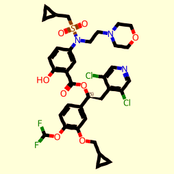 O=C(O[C@@H](Cc1c(Cl)cncc1Cl)c1ccc(OC(F)F)c(OCC2CC2)c1)c1cc(N(CCN2CCOCC2)S(=O)(=O)CC2CC2)ccc1O